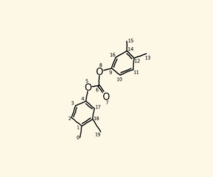 Cc1ccc(OC(=O)Oc2ccc(C)c(C)c2)cc1C